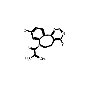 C=C(C)C(=O)N1CCc2c(Cl)ncnc2-c2ccc(Cl)cc21